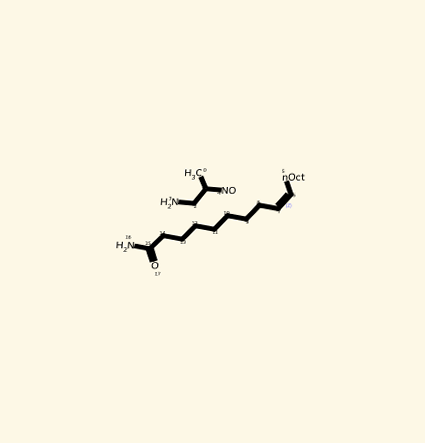 CC(CN)N=O.CCCCCCCC/C=C\CCCCCCCC(N)=O